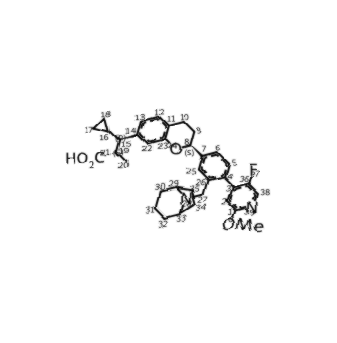 COc1cc(-c2ccc([C@@H]3CCc4ccc([C@H](C5CC5)[C@H](C)C(=O)O)cc4O3)cc2CN2C3CCCC2CC3)c(F)cn1